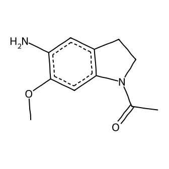 COc1cc2c(cc1N)CCN2C(C)=O